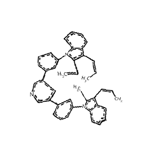 C=Cc1c(/C=C\C)c2ccccc2n1-c1cccc(-c2cncc(-c3cccc(-n4c(C)c(/C=C\C)c5ccccc54)c3)c2)c1